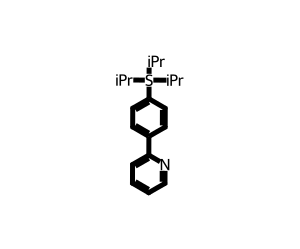 CC(C)S(c1ccc(-c2ccccn2)cc1)(C(C)C)C(C)C